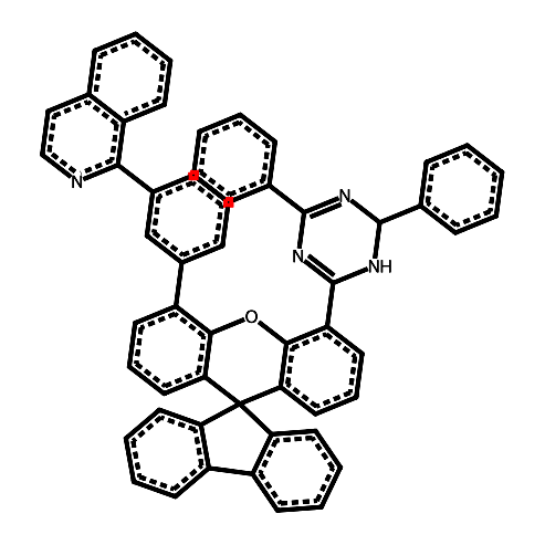 c1ccc(C2=NC(c3ccccc3)NC(c3cccc4c3Oc3c(-c5cccc(-c6nccc7ccccc67)c5)cccc3C43c4ccccc4-c4ccccc43)=N2)cc1